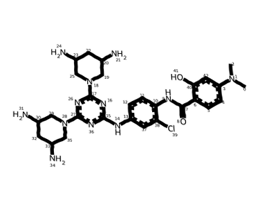 CN(C)c1ccc(C(=O)Nc2ccc(Nc3nc(N4CC(N)CC(N)C4)nc(N4CC(N)CC(N)C4)n3)cc2Cl)c(O)c1